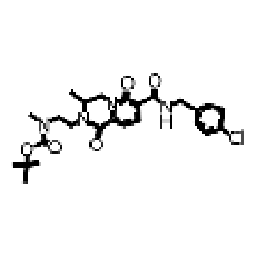 CC1Cn2c(ccc(C(=O)NCc3ccc(Cl)cc3)c2=O)C(=O)N1CCN(C)C(=O)OC(C)(C)C